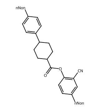 CCCCCCCCCc1ccc(C2CCC(C(=O)Oc3ccc(CCCCCCCCC)cc3C#N)CC2)cc1